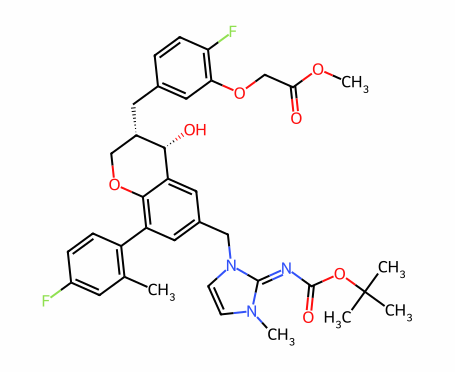 COC(=O)COc1cc(C[C@H]2COc3c(-c4ccc(F)cc4C)cc(Cn4ccn(C)c4=NC(=O)OC(C)(C)C)cc3[C@H]2O)ccc1F